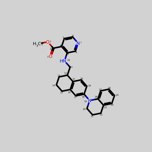 COC(=O)c1ccncc1NCC1CCCc2cc(N3CCCc4ccccc43)ccc21